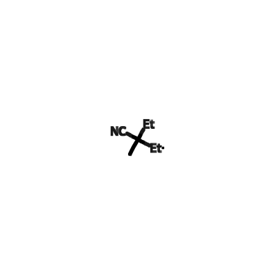 C[CH]C(C)(C#N)CC